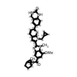 COc1cc(C(=O)N2CC3CCC2[C@@H]3C)cc2nc(-c3cc4ccc(-c5ccc6c(c5)CNC(=O)N6)nc4n3CC3CC3)n(C)c12